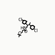 CC(c1ccc(Cl)cc1)C(CNC(=O)CCOC(C)(C)C)c1ccc(Cl)cc1